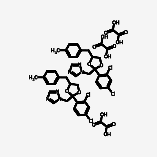 Cc1ccc(CC2COC(Cn3cncn3)(c3ccc(Cl)cc3Cl)O2)cc1.Cc1ccc(CC2COC(Cn3cncn3)(c3ccc(Cl)cc3Cl)O2)cc1.O=C(O)C(=O)O.O=C(O)C(=O)O.O=C(O)C(=O)O